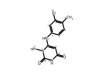 CCCn1c(Nc2ccc(C)c(CC)c2)cc(=O)[nH]c1=O